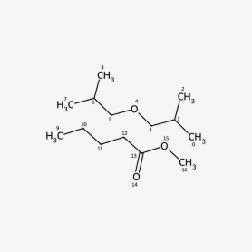 CC(C)COCC(C)C.CCCCC(=O)OC